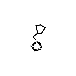 c1ncn(CC2CCCC2)n1